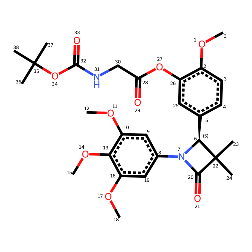 COc1ccc([C@@H]2N(c3cc(OC)c(OC)c(OC)c3)C(=O)C2(C)C)cc1OC(=O)CNC(=O)OC(C)(C)C